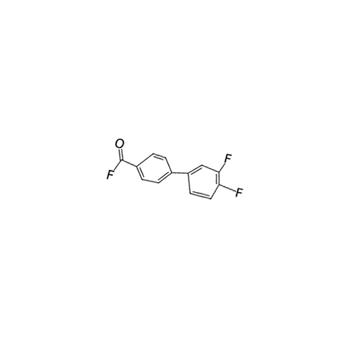 O=C(F)c1ccc(-c2ccc(F)c(F)c2)cc1